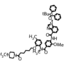 COc1cc(C(=O)N(C)c2ccc(C)cc2OCCCCCC(=O)N2CCN(C)CC2)ccc1NC(=O)c1cccc2c1ncn2CO[Si](c1ccccc1)(c1ccccc1)C(C)(C)C